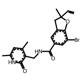 C=CC1(C)Cc2cc(C(=O)NCc3c(C)cc(C)[nH]c3=O)cc(Br)c2O1